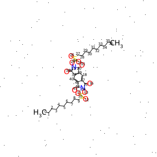 CCCCCCCCCCS(=O)(=O)On1c(=O)c2cc3c(=O)n(OS(=O)(=O)CCCCCCCCCC)c(=O)c3cc2c1=O